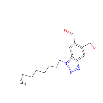 CCCCCCCCn1nnc2cc(C=O)c(C=O)cc21